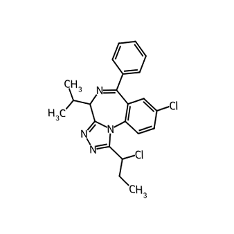 CCC(Cl)c1nnc2n1-c1ccc(Cl)cc1C(c1ccccc1)=NC2C(C)C